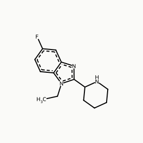 CCn1c(C2CCCCN2)nc2cc(F)ccc21